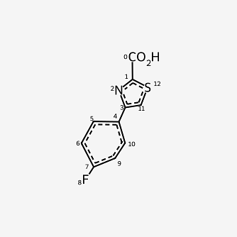 O=C(O)c1nc(-c2ccc(F)cc2)cs1